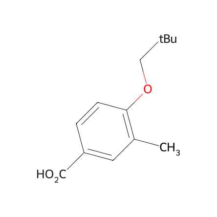 Cc1cc(C(=O)O)ccc1OCC(C)(C)C